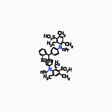 CCCN(c1ccc(C(c2ccc(N(CCC)c3c(C)cc(C)c(S(=O)(=O)O)c3C)cc2)c2ccccc2S(=O)(=O)O)cc1)c1c(C)cc(C)c(S(=O)(=O)O)c1C